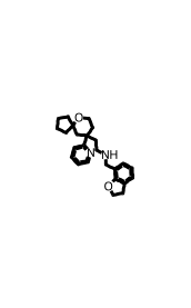 c1ccc(C2(CCNCc3cccc4c3OCC4)CCOC3(CCCC3)C2)nc1